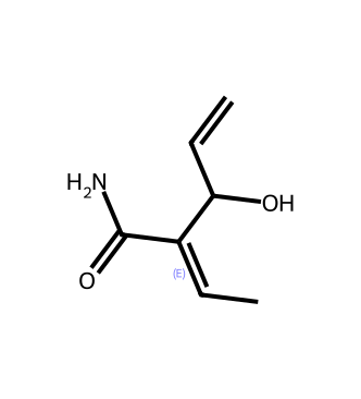 C=CC(O)/C(=C\C)C(N)=O